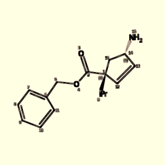 CC(C)[C@]1(C(=O)OCc2ccccc2)C=C[C@@H](N)C1